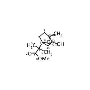 COC(=O)C(C)(C)[C@@]12CC[C@@](C)(O1)[C@@H](O)C2